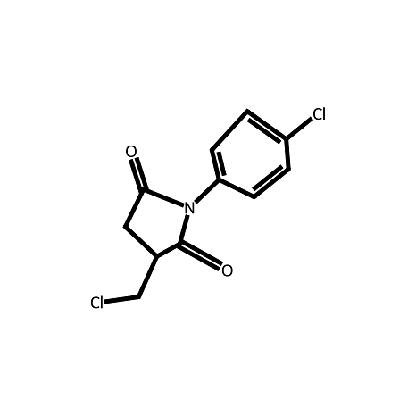 O=C1CC(CCl)C(=O)N1c1ccc(Cl)cc1